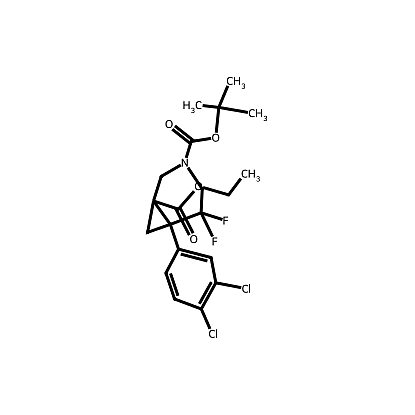 CCOC(=O)C12CN(C(=O)OC(C)(C)C)CC(F)(F)C1(c1ccc(Cl)c(Cl)c1)C2